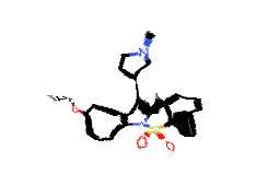 CC(C)Oc1ccc2c(c1)c([C@H]1CCN(C)C1)c1n2S(=O)(=O)c2ccccc2-1